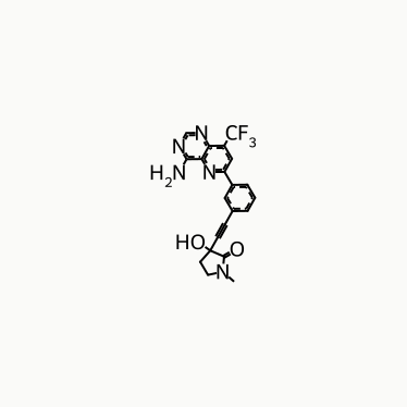 CN1CCC(O)(C#Cc2cccc(-c3cc(C(F)(F)F)c4ncnc(N)c4n3)c2)C1=O